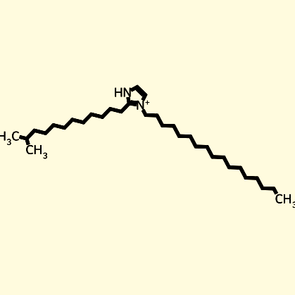 CCCCCCCCCCCCCCCCC[n+]1cc[nH]c1CCCCCCCCCCC(C)C